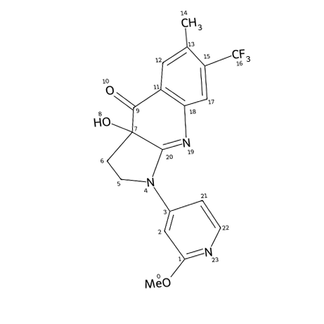 COc1cc(N2CCC3(O)C(=O)c4cc(C)c(C(F)(F)F)cc4N=C23)ccn1